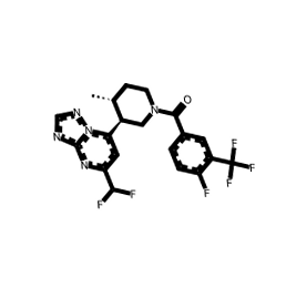 C[C@@H]1CCN(C(=O)c2ccc(F)c(C(F)(F)F)c2)C[C@H]1c1cc(C(F)F)nc2ncnn12